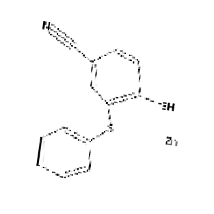 N#Cc1ccc(S)c(Sc2ccccc2)c1.[Zn]